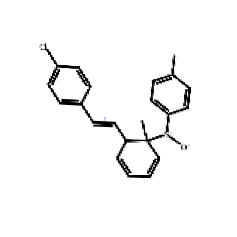 Cc1ccc([S+]([O-])C2(C)C=CC=CC2/C=C/c2ccc(Cl)cc2)cc1